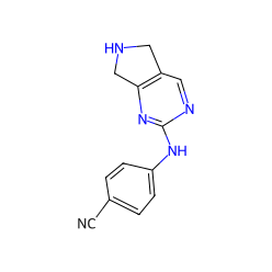 N#Cc1ccc(Nc2ncc3c(n2)CNC3)cc1